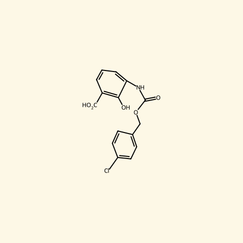 O=C(Nc1cccc(C(=O)O)c1O)OCc1ccc(Cl)cc1